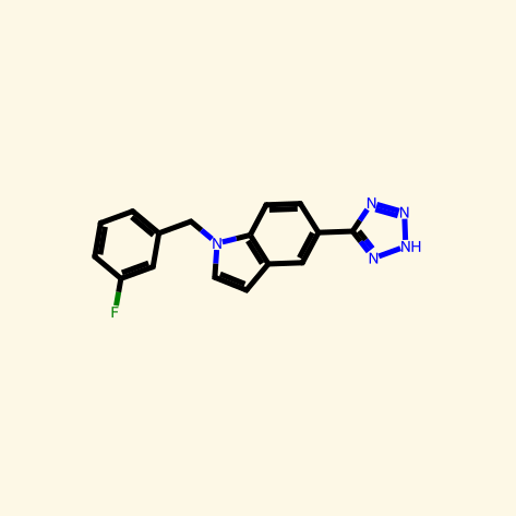 Fc1cccc(Cn2ccc3cc(-c4nn[nH]n4)ccc32)c1